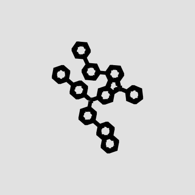 c1ccc(-c2ccc(N(c3cccc(-c4ccc5ccccc5c4)c3)c3ccc4c(c3)c3c(-c5cccc(-c6ccccc6)c5)cccc3n4-c3ccccc3)cc2)cc1